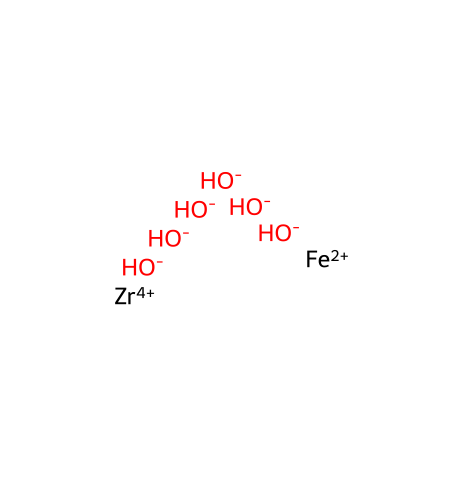 [Fe+2].[OH-].[OH-].[OH-].[OH-].[OH-].[OH-].[Zr+4]